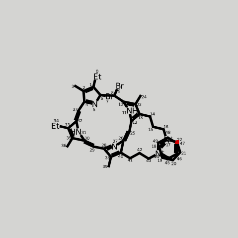 CCC1=C(C)C2=NC1(Br)C(Br)c1[nH]c(c(CCC[n+]3ccccc3)c1C)C=C1N=C(C=c3[nH]c(c(CC)c3C)=C2)C(C)=C1CCC[n+]1ccccc1